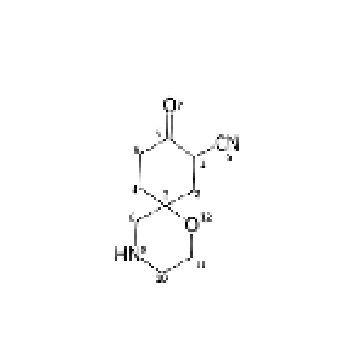 N#CC1CC2(CCC1=O)CNCCO2